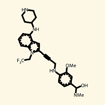 CNC(O)c1ccc(NCC#Cc2cc3c(NC4CCNCC4)cccc3n2CC(F)(F)F)c(OC)c1